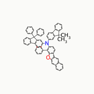 CC1(C)c2ccccc2-c2ccc(N(c3ccc4c(c3)C(c3ccccc3)(c3ccccc3)c3ccccc3-4)c3ccc4c(oc5cc6ccccc6cc54)c3-c3ccccc3)cc21